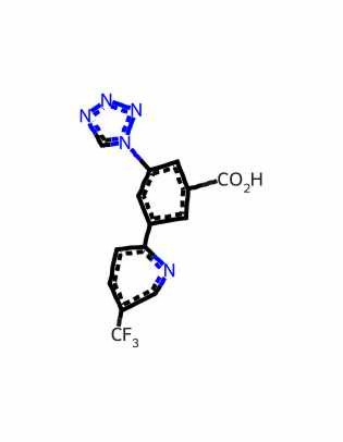 O=C(O)c1cc(-c2ccc(C(F)(F)F)cn2)cc(-n2cnnn2)c1